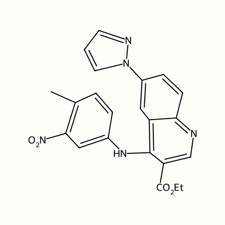 CCOC(=O)c1cnc2ccc(-n3cccn3)cc2c1Nc1ccc(C)c([N+](=O)[O-])c1